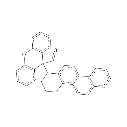 O=CC1(C2CCCc3c2ccc2c3ccc3ccccc32)c2ccccc2Oc2ccccc21